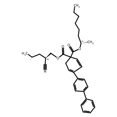 CCCCCC[C@H](C)OC(=O)C1(C(=O)OC[C@@H](C#N)CCC)C=CC(c2ccc(-c3ccccc3)cc2)=CC1